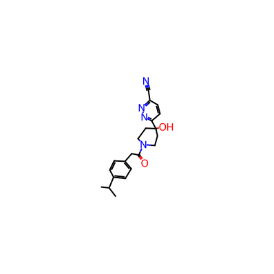 CC(C)c1ccc(CC(=O)N2CCC(O)(c3ccc(C#N)nn3)CC2)cc1